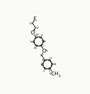 Cc1ccc(COc2ccc(OCCF)cc2)cc1